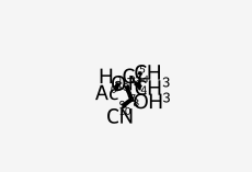 CC(=O)[O-].C[N+](C)(C)CC(O)CC#N